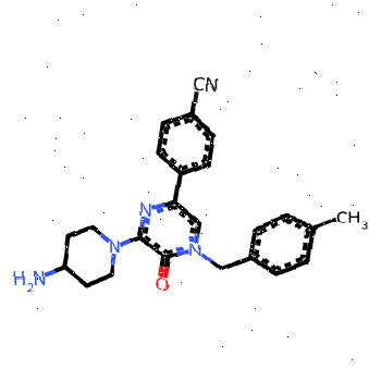 Cc1ccc(Cn2cc(-c3ccc(C#N)cc3)nc(N3CCC(N)CC3)c2=O)cc1